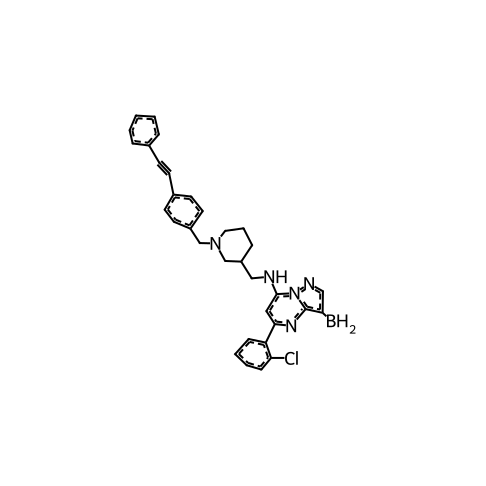 Bc1cnn2c(NCC3CCCN(Cc4ccc(C#Cc5ccccc5)cc4)C3)cc(-c3ccccc3Cl)nc12